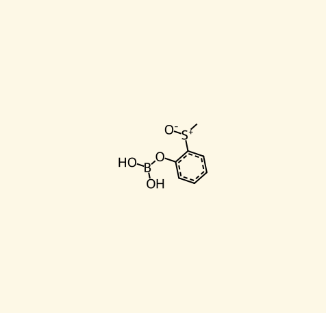 C[S+]([O-])c1ccccc1OB(O)O